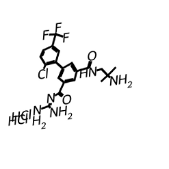 CC(C)(N)CNC(=O)c1cc(C(=O)N=C(N)N)cc(-c2cc(C(F)(F)F)ccc2Cl)c1.Cl.Cl